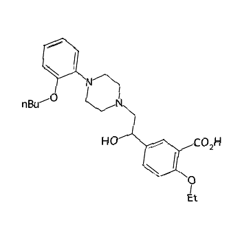 CCCCOc1ccccc1N1CCN(CC(O)c2ccc(OCC)c(C(=O)O)c2)CC1